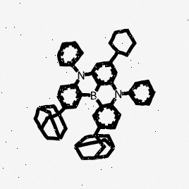 c1ccc(N2c3ccc(C45CC6CC(CC(C6)C4)C5)cc3B3c4cc(C56CC7CC(CC(C7)C5)C6)ccc4N(c4ccccc4)c4cc(C5CCCCC5)cc2c43)cc1